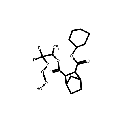 O=C(OC1CCCCC1)C1C2CCC(C2)C1C(=O)OC(C(F)(F)F)C(F)(F)SOOO